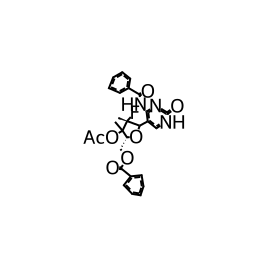 CC(=O)OC1(C)[C@@H](COC(=O)c2ccccc2)OC(c2c[nH]c(=O)nc2NC(=O)c2ccccc2)[C@@]1(C)F